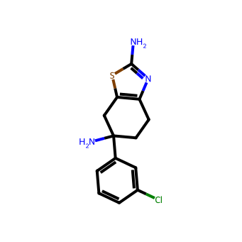 Nc1nc2c(s1)CC(N)(c1cccc(Cl)c1)CC2